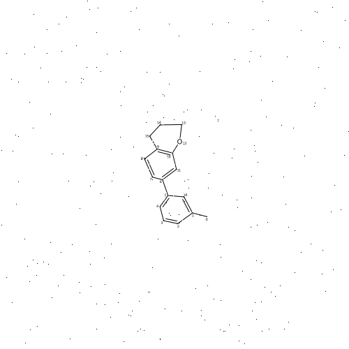 Cc1cccc(-c2ccc3c(c2)OCCC3)c1